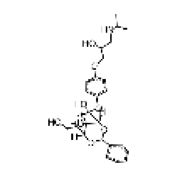 CC(C)NCC(O)COc1ccc(O[C@]2(O)O[C@H](CO)[C@H]3OC(c4ccccc4)O[C@@H]2[C@H]3O)cc1